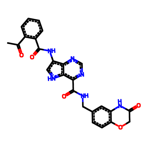 CC(=O)c1ccccc1C(=O)Nc1c[nH]c2c(C(=O)NCc3ccc4c(c3)NC(=O)CO4)ncnc12